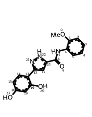 COc1ccccc1NC(=O)c1cc(-c2ccc(O)cc2O)n[nH]1